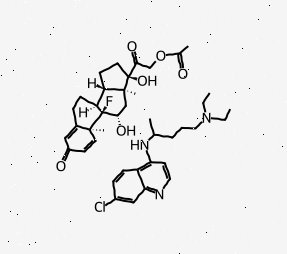 CC(=O)OCC(=O)[C@@]1(O)CC[C@H]2[C@@H]3CCC4=CC(=O)C=C[C@]4(C)[C@@]3(F)[C@@H](O)C[C@@]21C.CCN(CC)CCCC(C)Nc1ccnc2cc(Cl)ccc12